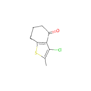 Cc1sc2c(c1Cl)C(=O)CCC2